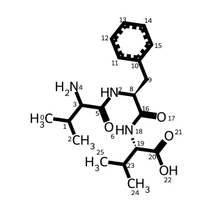 CC(C)C(N)C(=O)N[C@@H](Cc1ccccc1)C(=O)N[C@H](C(=O)O)C(C)C